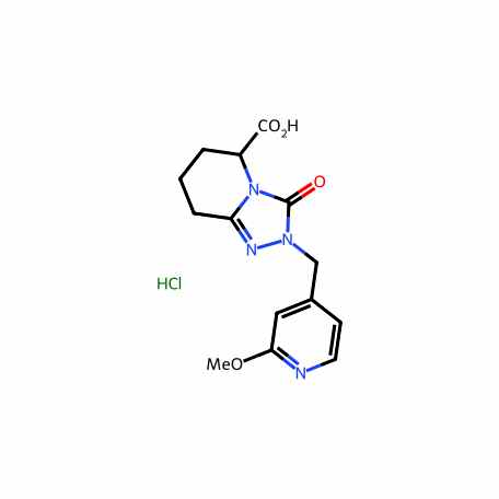 COc1cc(Cn2nc3n(c2=O)C(C(=O)O)CCC3)ccn1.Cl